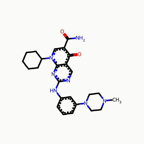 CN1CCN(c2cccc(Nc3ncc4c(=O)c(C(N)=O)cn(C5CCCCC5)c4n3)c2)CC1